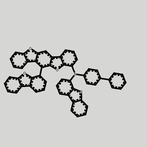 c1ccc(-c2ccc(N(c3cccc4c3oc3c(-c5cccc6c5oc5ccccc56)c5c(cc34)oc3ccccc35)c3cccc4c3sc3ccccc34)cc2)cc1